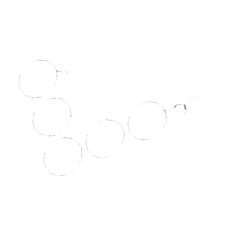 C1CCCCCCCCCCCCCC1.C1CCCCCCCCCCCCCC1.C1CCCCCCCCCCCCCC1.C1CCCCCCCCCCCCCC1.C=CC(=O)O.OC1(O)CCCCCCCCCCCCCC1